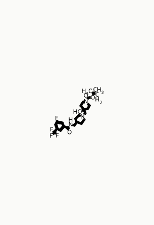 CC(C)(C)OC(=O)N1CCC(O)(CN2CCC(CNC(=O)c3cc(F)cc(C(F)(F)F)c3)CC2)CC1